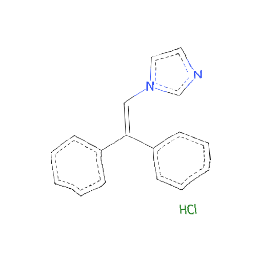 C(=C(c1ccccc1)c1ccccc1)n1ccnc1.Cl